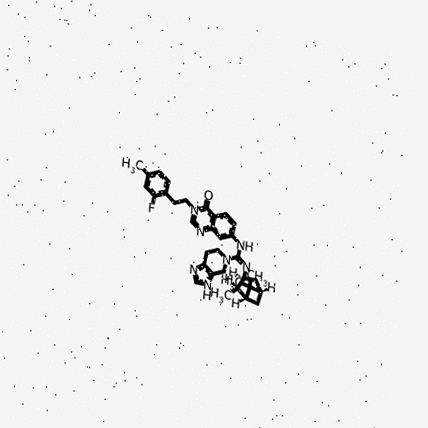 Cc1ccc(CCn2cnc3cc(N/C(=N/[C@H]4C[C@@H]5C[C@H]([C@@H]4C)C5(C)C)N4CCc5nc[nH]c5C4)ccc3c2=O)c(F)c1